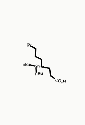 CC(C)CCCCCCC(=O)O.CCC[CH2][Sn][CH2]CCC